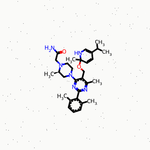 Cc1cccc(C)c1-c1nc(C)c(COC2(C)C=CC(C(C)C)=CN2)c(N2CCN(CC(N)=O)[C@H](C)C2)n1